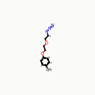 CC(C)c1ccc(OCCOCCN=[N+]=[N-])cc1